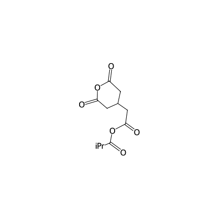 CC(C)C(=O)OC(=O)CC1CC(=O)OC(=O)C1